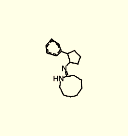 c1ccc(C2CCCC2N=C2CCCCCCCN2)cc1